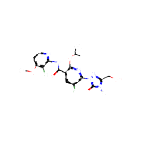 CCOc1ccnc(NC(=O)c2cc(F)c(-n3nc(CO)n(CC)c3=O)nc2OC(C)C(F)(F)F)c1Cl